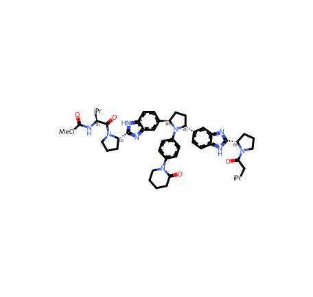 COC(=O)N[C@H](C(=O)N1CCC[C@H]1c1nc2cc([C@H]3CC[C@H](c4ccc5[nH]c([C@@H]6CCCN6C(=O)[CH]C(C)C)nc5c4)N3c3ccc(N4CCCCC4=O)cc3)ccc2[nH]1)C(C)C